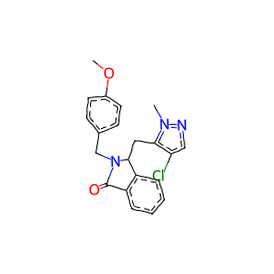 COc1ccc(CN2C(=O)c3ccccc3C2Cc2c(Cl)cnn2C)cc1